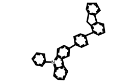 c1ccc(-n2c3ccccc3c3cc(-c4ccc(-c5cccc6c5Cc5ccccc5-6)cc4)ccc32)cc1